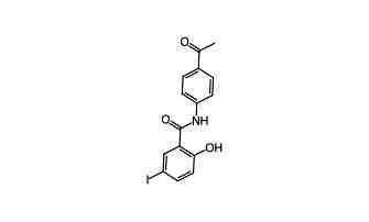 CC(=O)c1ccc(NC(=O)c2cc(I)ccc2O)cc1